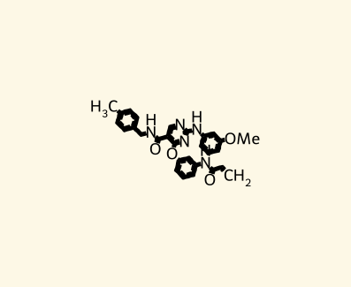 C=CC(=O)Nc1cccc(Oc2nc(Nc3cccc(OC)c3)ncc2C(=O)NCc2ccc(C)cc2)c1